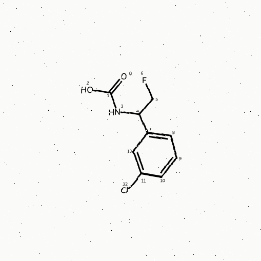 O=C(O)NC(CF)c1cccc(Cl)c1